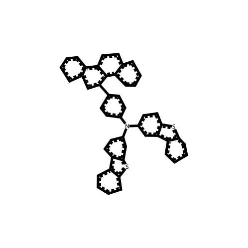 c1ccc2c(c1)cc(-c1ccc(N(c3ccc4c(c3)sc3ccccc34)c3ccc4sc5ccccc5c4c3)cc1)c1c3ccccc3ccc21